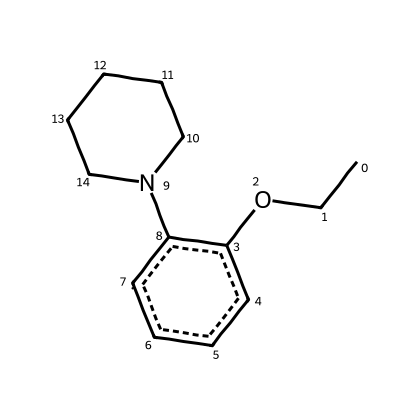 CCOc1ccc[c]c1N1CCCCC1